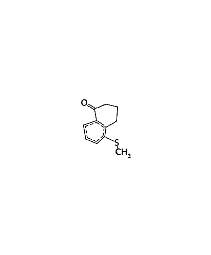 CSc1cccc2c1CCCC2=O